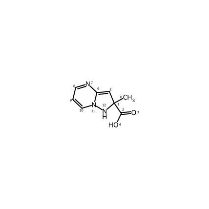 CC1(C(=O)O)C=C2N=CC=CN2N1